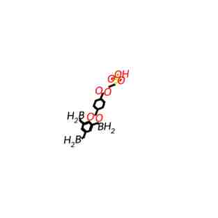 BCc1cc(CB)c(OC(=O)C2CCC(C(=O)OCCS(=O)(=O)O)CC2)c(CB)c1